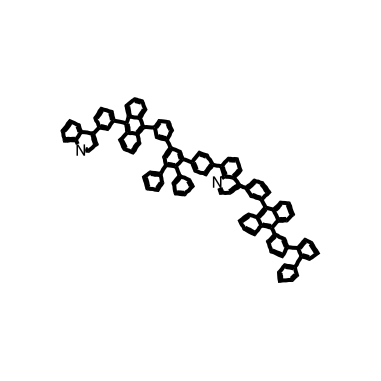 c1ccc(-c2ccccc2-c2cccc(-c3c4ccccc4c(-c4cccc(-c5ccnc6c(-c7ccc(-c8cc(-c9cccc(-c%10c%11ccccc%11c(-c%11cccc(-c%12ccnc%13ccccc%12%13)c%11)c%11ccccc%10%11)c9)cc(-c9ccccc9)c8-c8ccccc8)cc7)cccc56)c4)c4ccccc34)c2)cc1